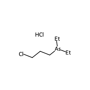 CC[As](CC)CCCCl.Cl